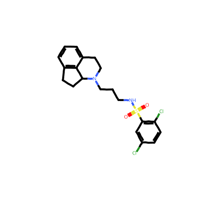 O=S(=O)(NCCCN1CCc2cccc3c2C1CC3)c1cc(Cl)ccc1Cl